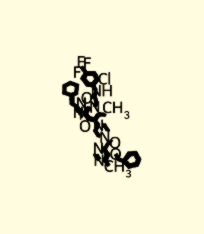 CCc1c(N2CCN(C(=O)c3ncnc(C)c3OCc3ccccc3)CC2)c(=O)n2nc(C=C3CCCCC3)nc2n1CC(=O)Nc1ccc(C(F)(F)F)cc1Cl